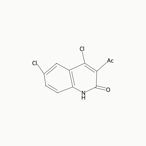 CC(=O)c1c(Cl)c2cc(Cl)ccc2[nH]c1=O